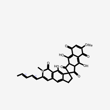 C/C=C/C=C/c1cc2cc3c(c(O)c2c(=O)n1C)C1(CC3)C(=O)C2C(O)=C3C(=O)C=C(OC)C(=O)C3=C(O)C2C1=O